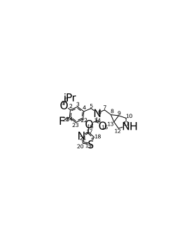 CC(C)Oc1cc(CN(CC2C3CNCC32)C(=O)Oc2cscn2)ccc1F